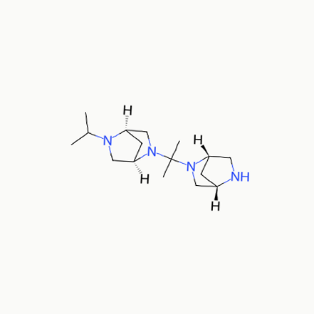 CC(C)N1C[C@H]2C[C@@H]1CN2C(C)(C)N1C[C@@H]2C[C@H]1CN2